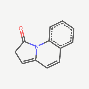 O=C1CC=C2C=Cc3ccccc3N12